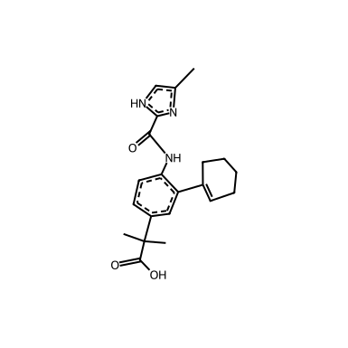 Cc1c[nH]c(C(=O)Nc2ccc(C(C)(C)C(=O)O)cc2C2=CCCCC2)n1